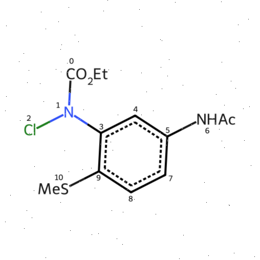 CCOC(=O)N(Cl)c1cc(NC(C)=O)ccc1SC